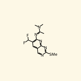 CSc1ncc2cc(C(F)F)c(/N=C(\C)N(C)C)nc2n1